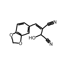 N#CC(=Cc1ccc2c(c1)OCO2)C(O)C#N